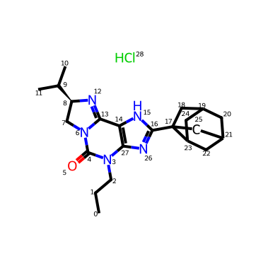 CCCN1C(=O)N2C[C@@H](C(C)C)N=C2c2[nH]c(C34CC5CC(CC3C5)C4)nc21.Cl